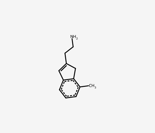 Cc1cccc2c1CC(CCN)=C2